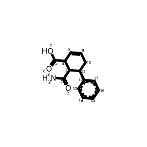 NC(=O)C1C(C(=O)O)C=CCC1c1ccccc1